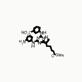 COC(=O)CCCCc1cnn2c(Nc3cccc(C(=O)O)c3)nc(Nc3cccc(N)c3)nc12